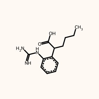 CCCCC(C(=O)O)c1ccccc1NC(=N)N